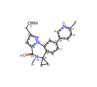 COCc1cc2n(n1)-c1cc(-c3ccc(C)nc3)ccc1C1(CC1)N(C)C2=O